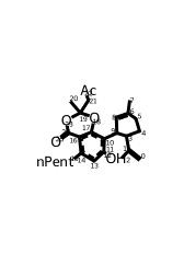 C=C(C)C1CCC(C)=CC1c1c(O)cc(CCCCC)c2c1OC(C)(CC(C)=O)OC2=O